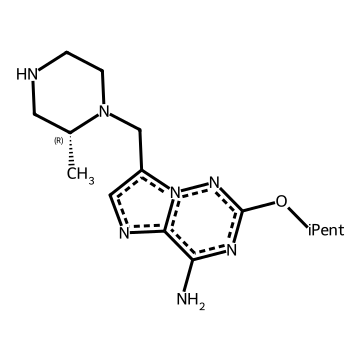 CCCC(C)Oc1nc(N)c2ncc(CN3CCNC[C@H]3C)n2n1